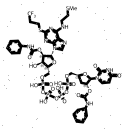 CSCCNc1nc(SCCC(F)(F)F)nc2c1ncn2[C@@H]1O[C@H](COP(=O)(O)OP(=O)(O)OP(=O)(O)OP(=O)(O)OC[C@@H]2C[C@@H](OC(=O)Nc3ccccc3)C(n3ccc(=O)[nH]c3=O)O2)[C@@H](O)[C@H]1OC(=O)Nc1ccccc1